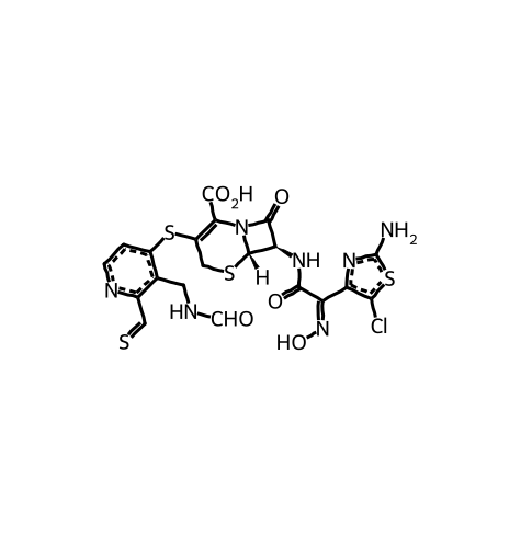 Nc1nc(/C(=N/O)C(=O)N[C@@H]2C(=O)N3C(C(=O)O)=C(Sc4ccnc(C=S)c4CNC=O)CS[C@@H]23)c(Cl)s1